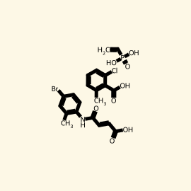 C=CP(=O)(O)O.Cc1cc(Br)ccc1NC(=O)C=CC(=O)O.Cc1cccc(Cl)c1C(=O)O